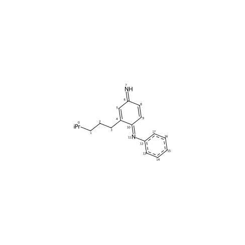 CC(C)CCCC1=CC(=N)C=CC1=Nc1ccccc1